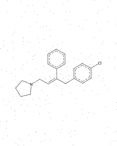 Clc1ccc(CC(=CCN2CCCC2)c2ccccc2)cc1